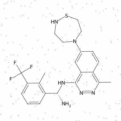 Cc1c([C@@H](N)Nc2nnc(C)c3ccc(N4CCNSCC4)cc23)cccc1C(F)(F)F